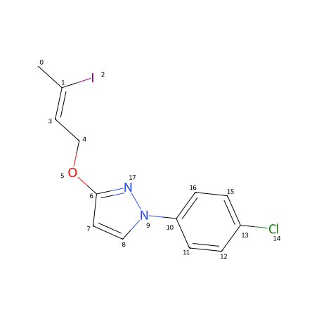 C/C(I)=C/COc1ccn(-c2ccc(Cl)cc2)n1